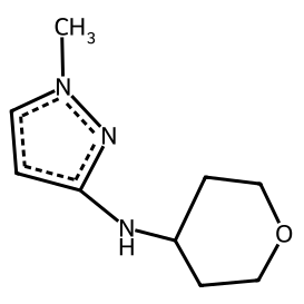 Cn1ccc(NC2CCOCC2)n1